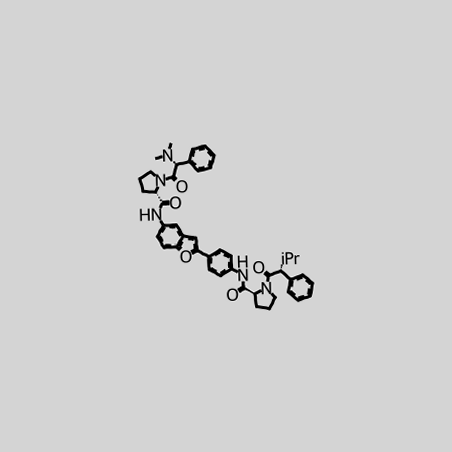 CC(C)[C@@H](C(=O)N1CCC[C@H]1C(=O)Nc1ccc(-c2cc3cc(NC(=O)[C@@H]4CCCN4C(=O)[C@@H](c4ccccc4)N(C)C)ccc3o2)cc1)c1ccccc1